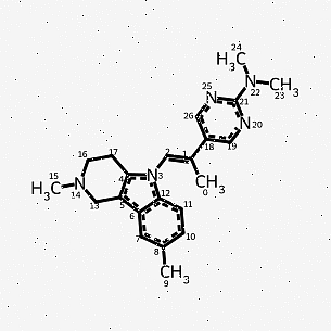 C/C(=C\n1c2c(c3cc(C)ccc31)CN(C)CC2)c1cnc(N(C)C)nc1